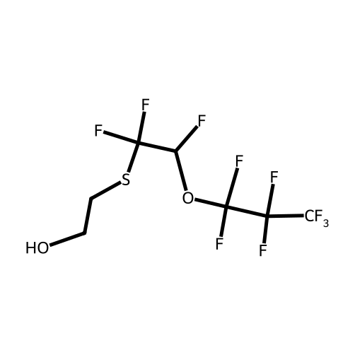 OCCSC(F)(F)C(F)OC(F)(F)C(F)(F)C(F)(F)F